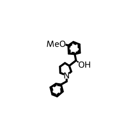 COc1cccc([C@@H](O)C2CCCN(Cc3ccccc3)C2)c1